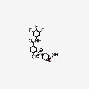 C[C@H]1CC2C[C@@H](S(=O)(=O)c3cc(C(=O)Nc4cc(F)c(F)c(F)c4)ccc3Cl)CC1[C@@]2(O)CN